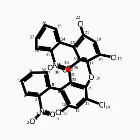 O=[N+]([O-])c1ccccc1-c1c(Cl)cc(Cl)c(Oc2c(Cl)cc(Cl)c(-c3ccccc3[N+](=O)[O-])c2Cl)c1Cl